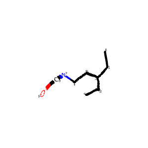 CCC(CC)CCN=C=O